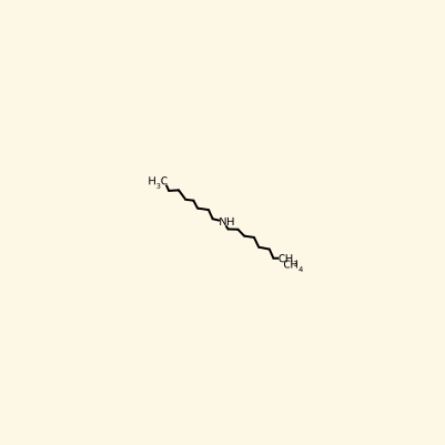 C.CCCCCCCCNCCCCCCCC